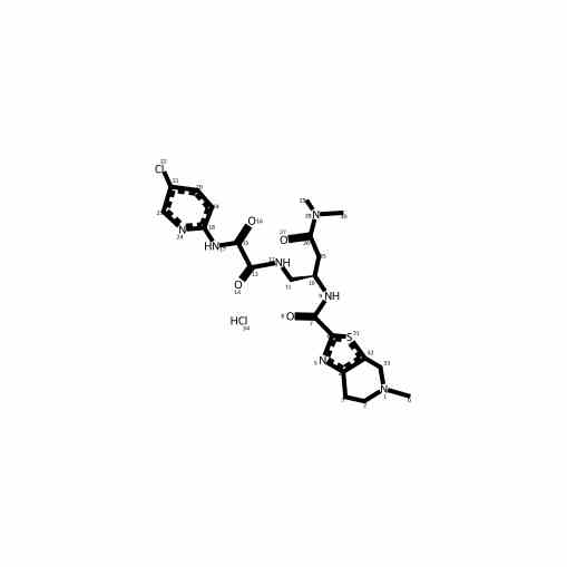 CN1CCc2nc(C(=O)N[C@@H](CNC(=O)C(=O)Nc3ccc(Cl)cn3)CC(=O)N(C)C)sc2C1.Cl